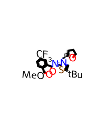 COC(=O)c1ccc(C(F)(F)F)cc1C(=O)/N=c1\sc(C(C)(C)C)cn1C[C@H]1CCCO1